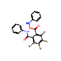 O=C(Nc1ccccc1)c1c(Br)c(Br)c(Br)c(Br)c1C(=O)ONc1ccccc1